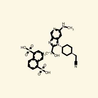 CNc1cc2c(cn1)nc([C@@H](C)O)n2[C@H]1CC[C@H](CC#N)CC1.O=S(=O)(O)c1cccc2c(S(=O)(=O)O)cccc12